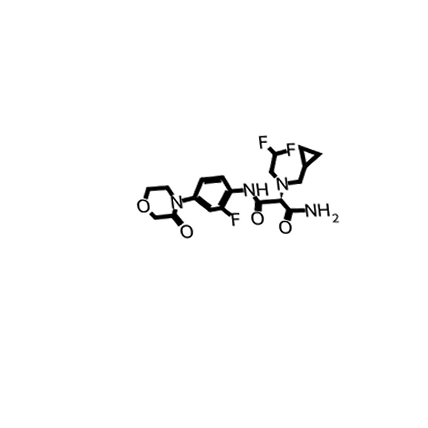 NC(=O)[C@H](C(=O)Nc1ccc(N2CCOCC2=O)cc1F)N(CC(F)F)CC1CC1